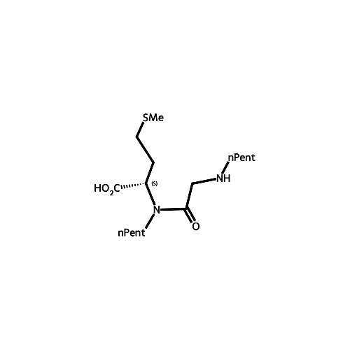 CCCCCNCC(=O)N(CCCCC)[C@@H](CCSC)C(=O)O